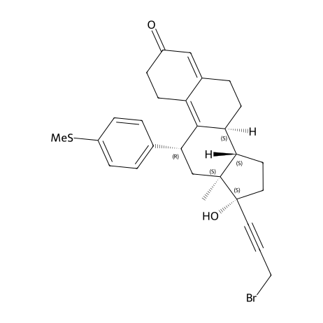 CSc1ccc([C@H]2C[C@@]3(C)[C@@H](CC[C@@]3(O)C#CCBr)[C@@H]3CCC4=CC(=O)CCC4=C32)cc1